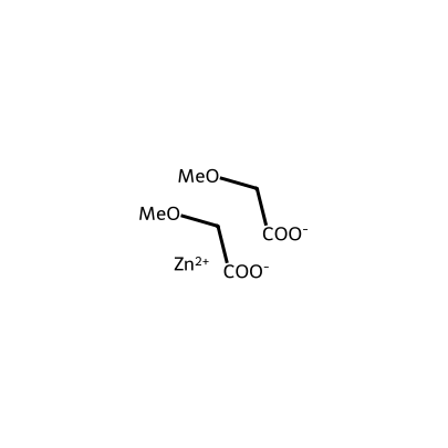 COCC(=O)[O-].COCC(=O)[O-].[Zn+2]